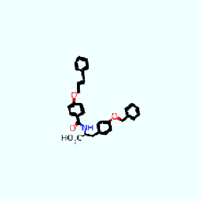 O=C(N[C@@H](Cc1ccc(OCc2ccccc2)cc1)C(=O)O)c1ccc(OCC=Cc2ccccc2)cc1